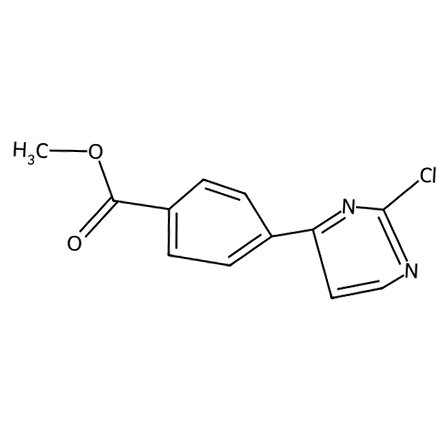 COC(=O)c1ccc(-c2ccnc(Cl)n2)cc1